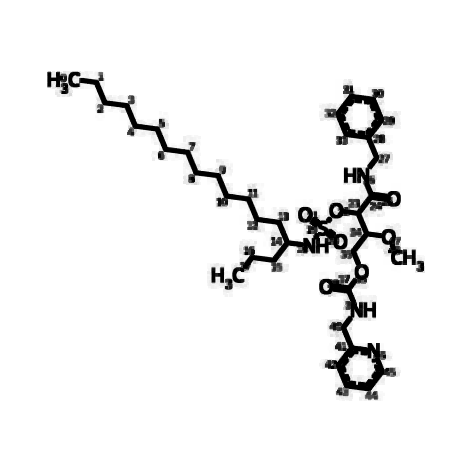 CCCCCCCCCCCCCCC(CCC)NS(=O)(=O)OC(C(=O)NCc1ccccc1)C(COC(=O)NCc1ccccn1)OC